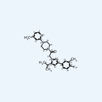 Cc1ccnc(N2CCN(C(=O)Cn3nc(-c4ccc(F)c(C)c4)cc3C(C)C)CC2)c1